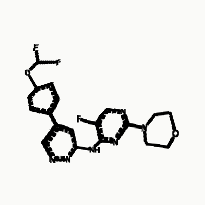 Fc1cnc(N2CCOCC2)nc1Nc1cc(-c2ccc(OC(F)F)cc2)cnn1